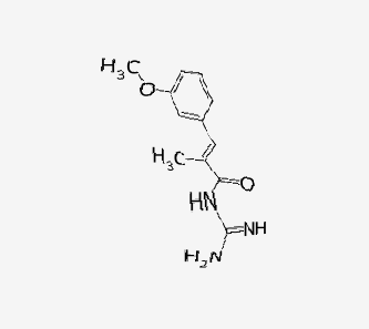 COc1cccc(/C=C(\C)C(=O)NC(=N)N)c1